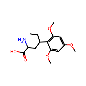 CCC(CC(N)C(=O)O)c1c(OC)cc(OC)cc1OC